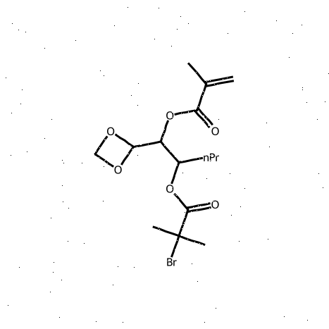 C=C(C)C(=O)OC(C(CCC)OC(=O)C(C)(C)Br)C1OCO1